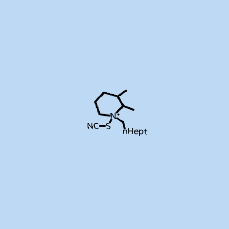 CCCCCCCC[N+]1(SC#N)CCCC(C)C1C